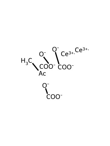 CC(C)=O.O=C([O-])[O-].O=C([O-])[O-].O=C([O-])[O-].[Ce+3].[Ce+3]